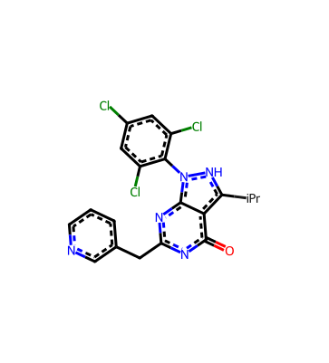 CC(C)c1[nH]n(-c2c(Cl)cc(Cl)cc2Cl)c2nc(Cc3cccnc3)nc(=O)c1-2